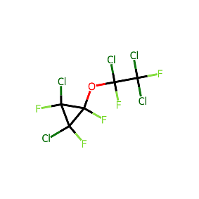 FC(Cl)(Cl)C(F)(Cl)OC1(F)C(F)(Cl)C1(F)Cl